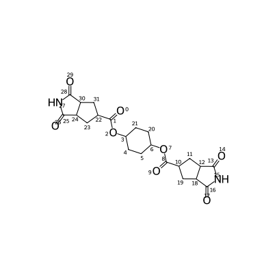 O=C(OC1CCC(OC(=O)C2CC3C(=O)NC(=O)C3C2)CC1)C1CC2C(=O)NC(=O)C2C1